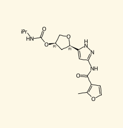 Cc1occc1C(=O)Nc1cc([C@H]2C[C@@H](OC(=O)NC(C)C)CO2)[nH]n1